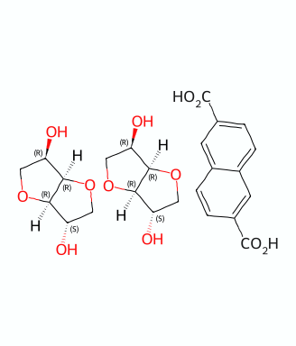 O=C(O)c1ccc2cc(C(=O)O)ccc2c1.O[C@@H]1CO[C@H]2[C@@H]1OC[C@@H]2O.O[C@@H]1CO[C@H]2[C@@H]1OC[C@@H]2O